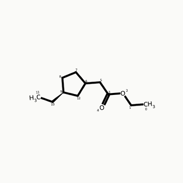 CCOC(=O)CC1CC[C@H](CC)C1